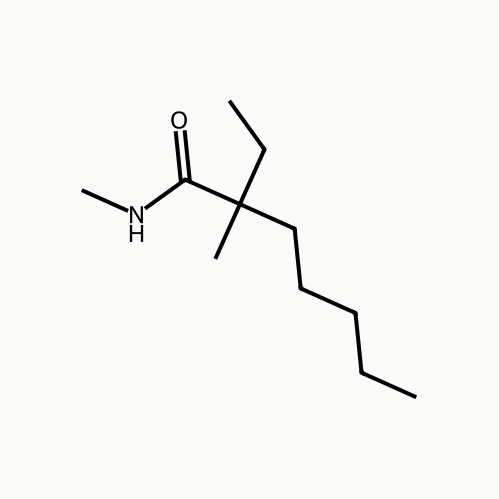 CCCCCC(C)(CC)C(=O)NC